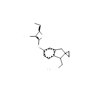 C/C=C1/OC(Nc2ccc3c(c2)CC2(CC2)C3CC(=O)O)=C1O